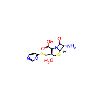 N[C@@H]1C(=O)N2C(C(=O)O)=C(CSc3ccncn3)CS[C@H]12.O